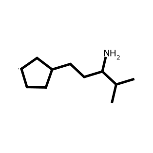 CC(C)C(N)CCC1C[CH]CC1